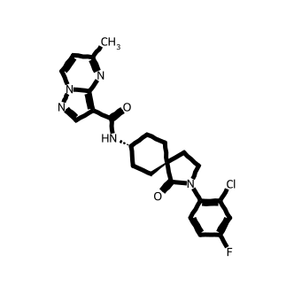 Cc1ccn2ncc(C(=O)N[C@H]3CC[C@]4(CCN(c5ccc(F)cc5Cl)C4=O)CC3)c2n1